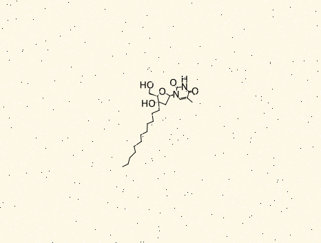 CCCCCCCCCCCC[C@]1(O)C[C@H](n2cc(C)c(=O)[nH]c2=O)O[C@@H]1CO